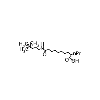 CCCC(CCCCCCCC(=O)NCCC[N+](C)(C)C)S(=O)O